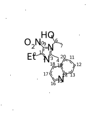 CCc1nc(C)n(C(C)O)c1[N+](=O)[O-].c1ccc2ncccc2c1